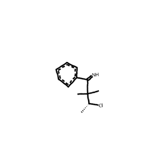 C[C@@H](Cl)C(C)(C)C(=N)c1ccccc1